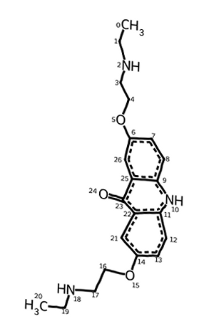 CCNCCOc1ccc2[nH]c3ccc(OCCNCC)cc3c(=O)c2c1